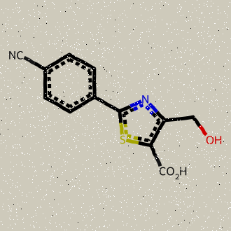 N#Cc1ccc(-c2nc(CO)c(C(=O)O)s2)cc1